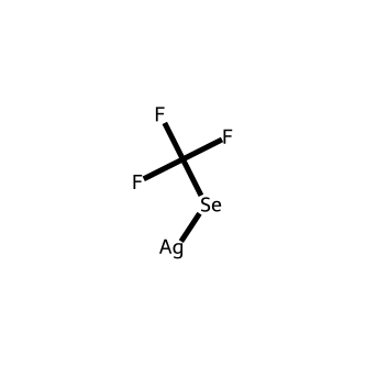 FC(F)(F)[Se][Ag]